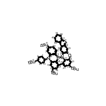 CC(C)(C)c1ccc(N2c3cc(C(C)(C)C)ccc3B3c4c(cc(C(C)(C)C)cc42)-c2cc(C(C)(C)C)cc4c2N3c2cc3c(cc2O4)sc2ccccc23)cc1